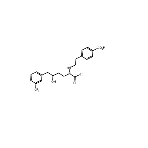 CCC(=O)N(CCC(O)Cc1cccc(C(F)(F)F)c1)NCCc1ccc(C(=O)O)cc1